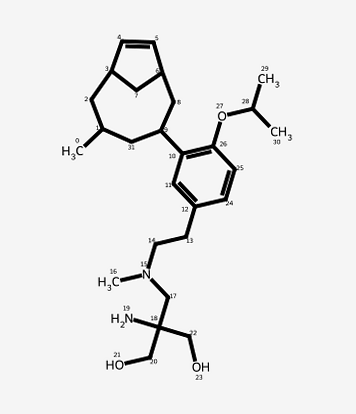 CC1CC2C=CC(C2)CC(c2cc(CCN(C)CC(N)(CO)CO)ccc2OC(C)C)C1